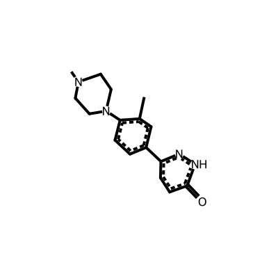 Cc1cc(-c2ccc(=O)[nH]n2)ccc1N1CCN(C)CC1